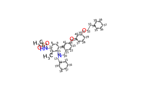 Cc1c(NS(C)(=O)=O)cccc1N(Cc1ccccc1)Cc1ccc(Oc2cccc(OCCc3ccccc3)c2)cc1